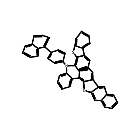 c1ccc(N(c2ccc(-c3cccc4ccccc34)cc2)c2cccc3c2sc2ccccc23)c(-c2cccc3c2oc2cc4ccccc4cc23)c1